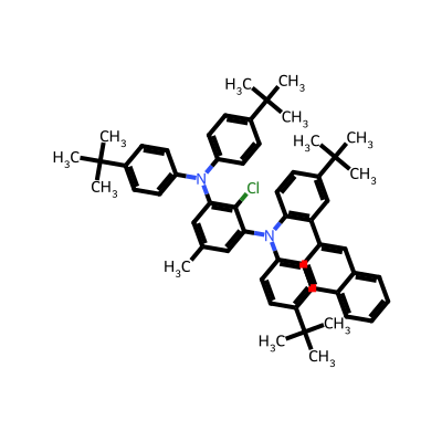 Cc1cc(N(c2ccc(C(C)(C)C)cc2)c2ccc(C(C)(C)C)cc2)c(Cl)c(N(c2ccc(C(C)(C)C)cc2)c2ccc(C(C)(C)C)cc2-c2ccc3ccccc3c2)c1